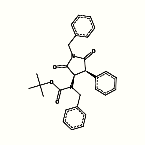 CC(C)(C)OC(=O)N(Cc1ccccc1)[C@H]1C(=O)N(Cc2ccccc2)C(=O)[C@H]1c1ccccc1